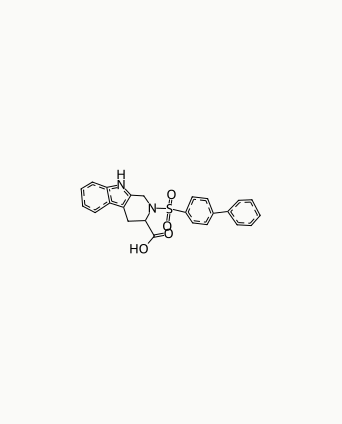 O=C(O)C1Cc2c([nH]c3ccccc23)CN1S(=O)(=O)c1ccc(-c2ccccc2)cc1